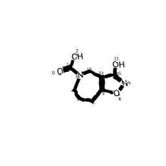 O=C(O)N1CCCc2onc(O)c2C1